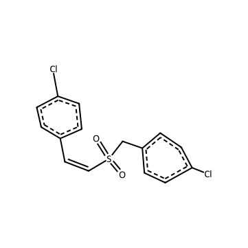 O=S(=O)(/C=C\c1ccc(Cl)cc1)Cc1ccc(Cl)cc1